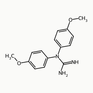 COc1ccc(N(C(=N)N)c2ccc(OC)cc2)cc1